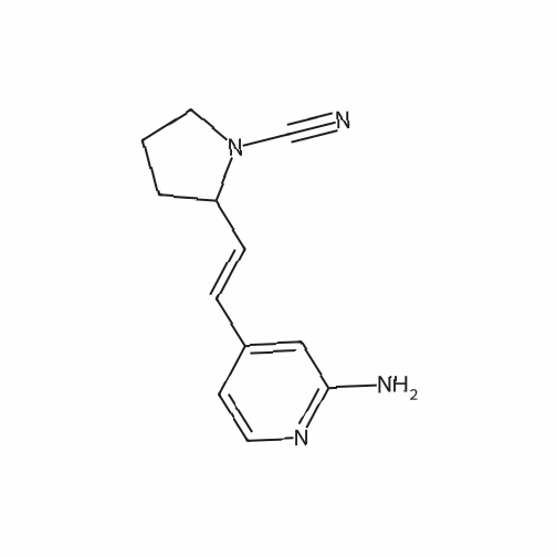 N#CN1CCCC1C=Cc1ccnc(N)c1